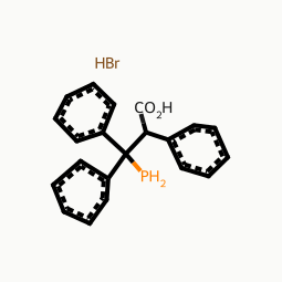 Br.O=C(O)C(c1ccccc1)C(P)(c1ccccc1)c1ccccc1